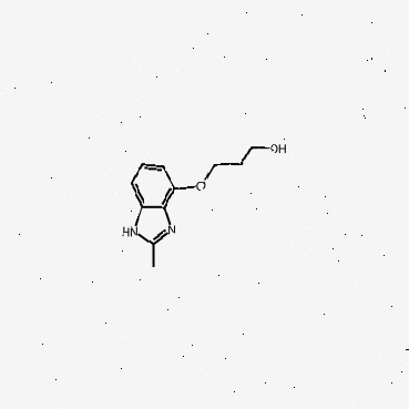 Cc1nc2c(OCCCO)cccc2[nH]1